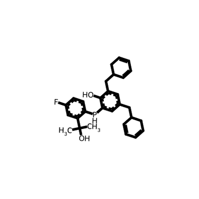 CC(C)(O)c1cc(F)ccc1Pc1cc(CC2C=CC=CC2)cc(CC2C=CC=CC2)c1O